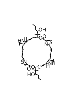 C/C=C/[C@H](O)C(C)(C)[C@@H]1C/C=C\[C@H]2N[C@H]2/C=C/C=C\c2nc(cs2)C(=O)O[C@H](C(C)(C)[C@@H](O)/C=C/C)C/C=C\[C@H]2N[C@H]2/C=C/C=C\c2nc(cs2)C(=O)O1